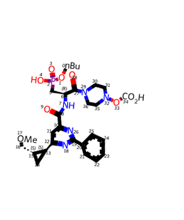 CCCCOP(=O)(O)C[C@H](NC(=O)c1cc([C@H]2C[C@@H]2COC)nc(-c2ccccc2)n1)C(=O)N1CCN(OC(=O)O)CC1